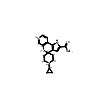 NC(=O)c1cc2c([nH]1)-c1ccncc1OC21CCN(C2CC2)CC1